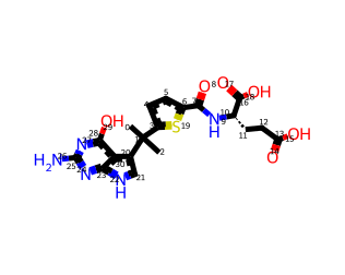 CC(C)(c1ccc(C(=O)N[C@@H](CCC(=O)O)C(=O)O)s1)c1c[nH]c2nc(N)nc(O)c12